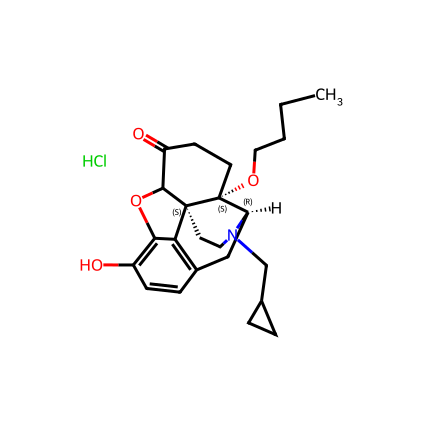 CCCCO[C@@]12CCC(=O)C3Oc4c(O)ccc5c4[C@@]31CCN(CC1CC1)[C@@H]2C5.Cl